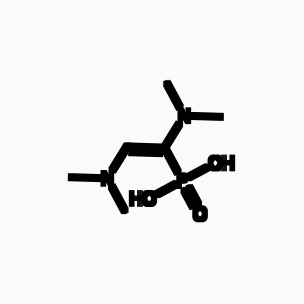 CN(C)C=C(N(C)C)P(=O)(O)O